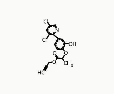 C#CCOC(=O)C(C)Oc1ccc(-c2ncc(Cl)cc2Cl)cc1O